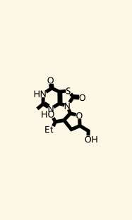 CCC(O)C1CC(CO)OC1n1c(=O)sc2c(=O)[nH]c(C)nc21